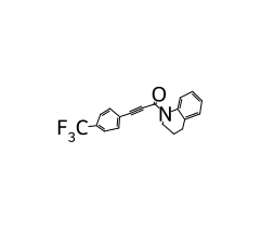 O=C(C#Cc1ccc(C(F)(F)F)cc1)N1CCCc2ccccc21